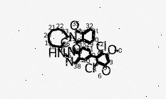 COc1cc(OC)c(Cl)c(-c2ccc3nc(NC4CCCCCC[C@H](N5C(=O)c6ccccc6C5=O)C4)ncc3c2)c1Cl